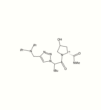 CNC(=O)[C@H]1CC(O)CN1C(=O)C(n1cc(CN(C(C)C)C(C)C)nn1)C(C)(C)C